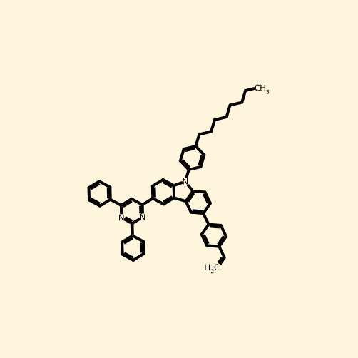 C=Cc1ccc(-c2ccc3c(c2)c2cc(-c4cc(-c5ccccc5)nc(-c5ccccc5)n4)ccc2n3-c2ccc(CCCCCCCC)cc2)cc1